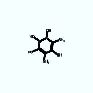 NC1=C(O)N(O)N(O)C(N)=C1O